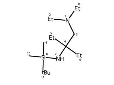 CCN(CC)CC(CC)(CC)N[Si](C)(C)C(C)(C)C